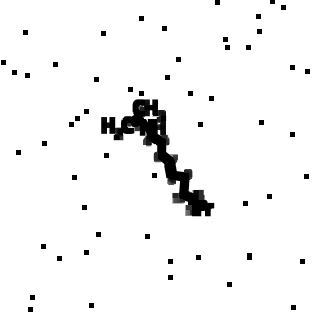 C=C(C)NCCC/C=C/CCCC(C)C